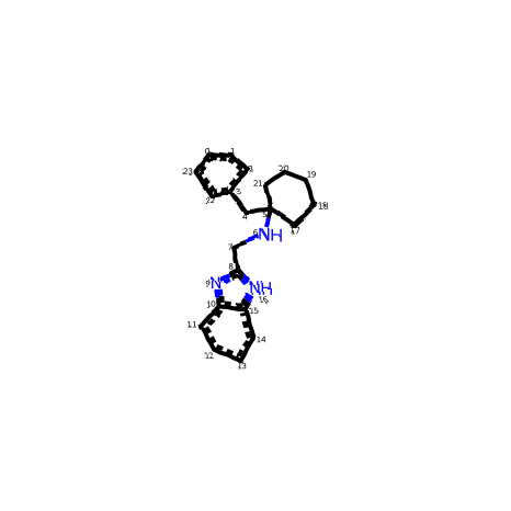 c1ccc(CC2(NCc3nc4ccccc4[nH]3)CCCCC2)cc1